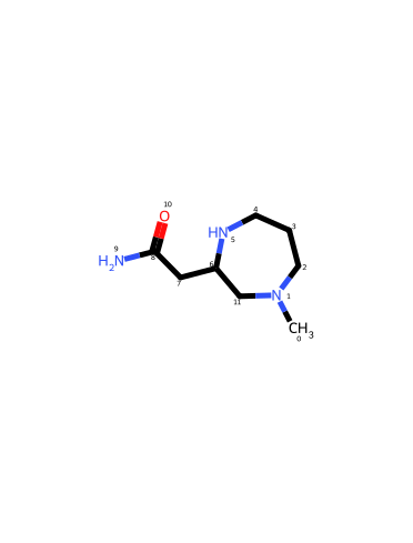 CN1CCCNC(CC(N)=O)C1